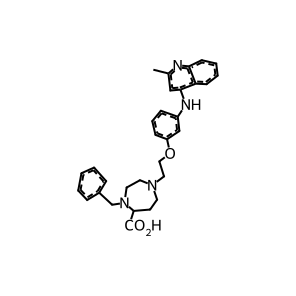 Cc1cc(Nc2cccc(OCCN3CCC(C(=O)O)N(Cc4ccccc4)CC3)c2)c2ccccc2n1